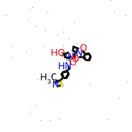 Cc1ncsc1-c1ccc(CNC(=O)[C@@H]2C[C@@H](O)CN2C(=O)C2(N3Cc4ccccc4C3=O)CCC2)cc1